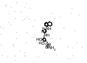 NS(=O)(=O)OC[C@H]1C[C@@H](CNc2cc(Nc3cccc4c3CCCC4)ncn2)[C@H](O)[C@@H]1O